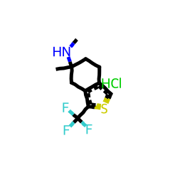 CNC1(C)CCc2csc(C(F)(F)F)c2C1.Cl